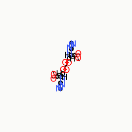 CCOc1cc2c(cc1OC)C(c1ccc(-n3cccn3)nc1)=N[C@@H]1CC[C@@H](OC(=O)/C=C/C(=O)O[C@@H]3CC[C@H]4N=C(c5ccc(-n6cccn6)nc5)c5cc(OC)c(OCC)cc5[C@H]4C3)C[C@H]21